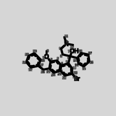 COc1cc2c(C(O)(CCN(C)C)c3ccccc3)cc(Br)cc2cc1Cc1ccccc1